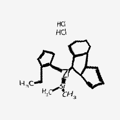 CCC1=[C]([Zr]([CH]2C3C=CC=CC3C3CCCCC32)=[Si](C)C)CC=C1.Cl.Cl